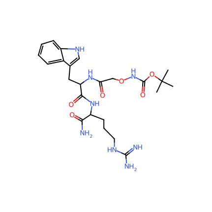 CC(C)(C)OC(=O)NOCC(=O)NC(Cc1c[nH]c2ccccc12)C(=O)NC(CCCNC(=N)N)C(N)=O